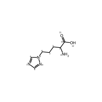 NC(CCCn1cncn1)C(=O)O